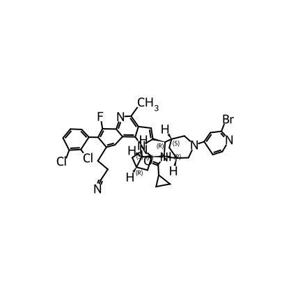 Cc1nc2c(F)c(-c3cccc(Cl)c3Cl)c(CCC#N)cc2c2c1cc([C@H]1[C@H]3C[C@H](CN(c4ccnc(Br)c4)C3)N1C(=O)C1CC1)n2[C@H]1[C@H]2CN[C@@H]1C2